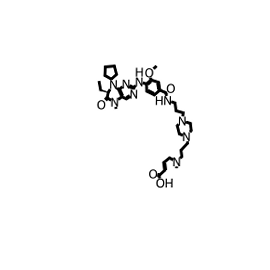 CC[C@@H]1C(=O)N(C)c2cnc(Nc3ccc(C(=O)NCCCN4CCN(CCCN(C)C/C=C/C(=O)O)CC4)cc3OC)nc2N1C1CCCC1